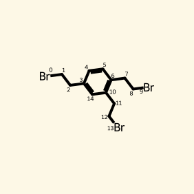 BrCCc1ccc(CCBr)c(CCBr)c1